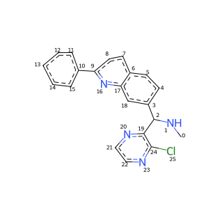 CNC(c1ccc2ccc(-c3ccccc3)nc2c1)c1nccnc1Cl